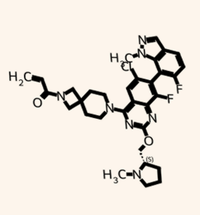 C=CC(=O)N1CC2(CCN(c3nc(OC[C@@H]4CCCN4C)nc4c(F)c(-c5c(F)ccc6cnn(C)c56)c(Cl)cc34)CC2)C1